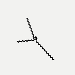 CCCCCCCCCCCCCCCCCCn1cc[n+](CCCCCCCCCCCCC)c1CCCCCCCCCCCC